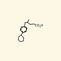 CC(CCC(=O)O)Cc1ccc(C2CCCCC2)cc1